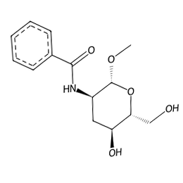 CO[C@@H]1O[C@H](CO)[C@@H](O)C[C@H]1NC(=O)c1ccccc1